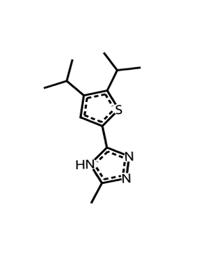 Cc1nnc(-c2cc(C(C)C)c(C(C)C)s2)[nH]1